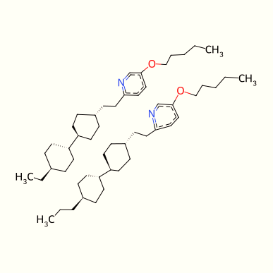 CCCCCOc1ccc(CC[C@H]2CC[C@H]([C@H]3CC[C@H](CC)CC3)CC2)nc1.CCCCCOc1ccc(CC[C@H]2CC[C@H]([C@H]3CC[C@H](CCC)CC3)CC2)nc1